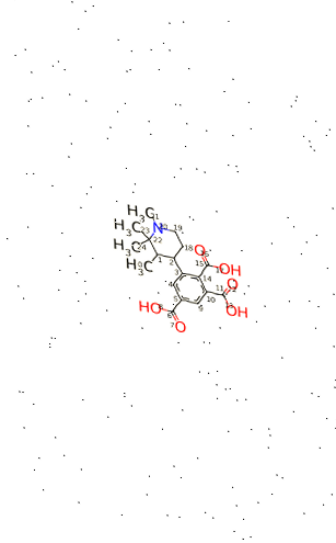 CC1C(c2cc(C(=O)O)cc(C(=O)O)c2C(=O)O)CCN(C)C1(C)C